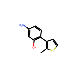 Cc1sccc1-c1ccc(N)cc1O